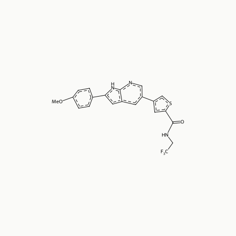 COc1ccc(-c2cc3cc(-c4csc(C(=O)NCC(F)(F)F)c4)cnc3[nH]2)cc1